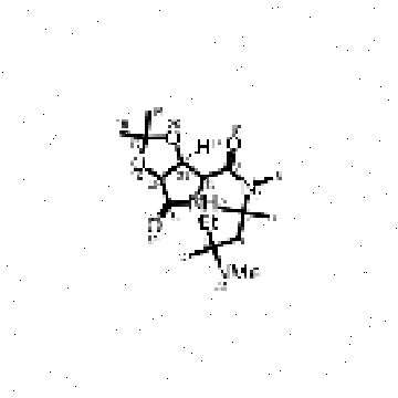 CCC(C)(CC(C)(C)N(C)C(=O)C1NC(=O)C2OC(C)(C)O[C@@H]12)NC